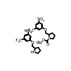 CC(C)(C)OC(=O)N1CCCC1COc1cc([N+](=O)[O-])cc(C(F)(F)F)c1.O=[N+]([O-])c1cc(OCC2CCCN2)cc(C(F)(F)F)c1